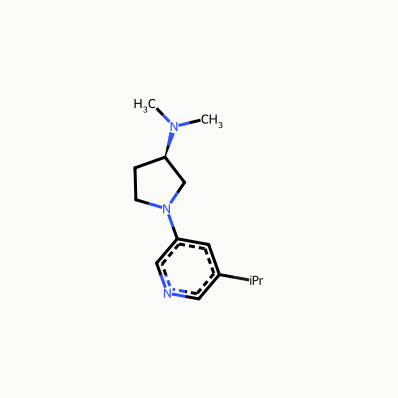 CC(C)c1cncc(N2CC[C@@H](N(C)C)C2)c1